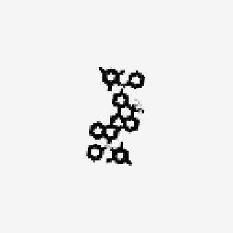 CCC1(CC)c2cc(N(c3ccccc3)c3c(C)cc(C)cc3C)ccc2-c2cc3c4ccccc4c(N(c4ccccc4)c4c(C)cc(C)cc4C)cc3c3cccc1c23